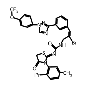 Cc1ccc(C(C)C)c(N2C(=O)CS/C2=N\C(=O)NC/C(Br)=C\c2cccc(-c3ncn(-c4ccc(OC(F)(F)F)cc4)n3)c2)c1